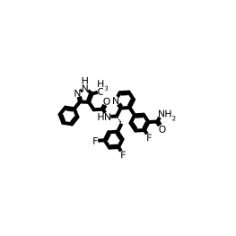 Cc1[nH]nc(-c2ccccc2)c1CC(=O)N[C@@H](Cc1cc(F)cc(F)c1)c1ncccc1-c1ccc(F)c(C(N)=O)c1